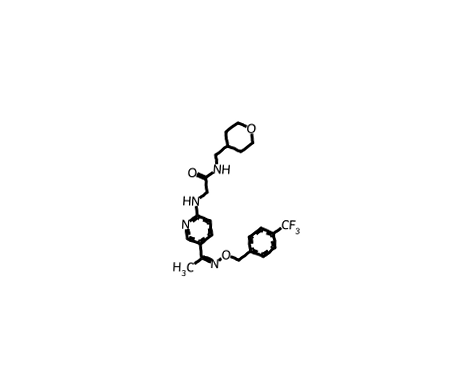 CC(=NOCc1ccc(C(F)(F)F)cc1)c1ccc(NCC(=O)NCC2CCOCC2)nc1